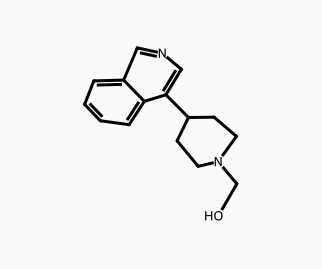 OCN1CCC(c2cncc3ccccc23)CC1